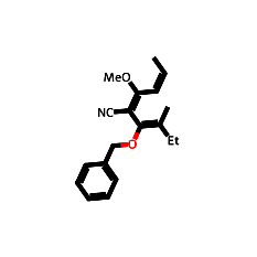 C\C=C/C(OC)=C(C#N)\C(OCc1ccccc1)=C(/C)CC